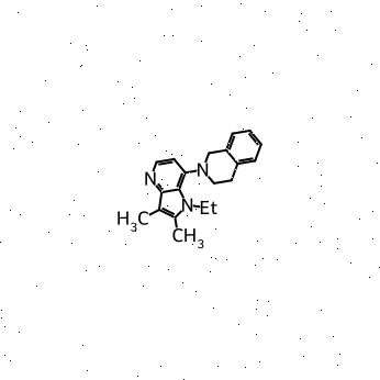 CCn1c(C)c(C)c2nccc(N3CCc4ccccc4C3)c21